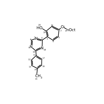 CCCCCCCCOc1ccc(-c2ncnc(-c3ccc(C)cc3)n2)c(O)c1